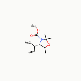 C=CC(OC(C)=O)[C@H]1[C@H](C)OC(C)(C)N1C(=O)OC(C)(C)C